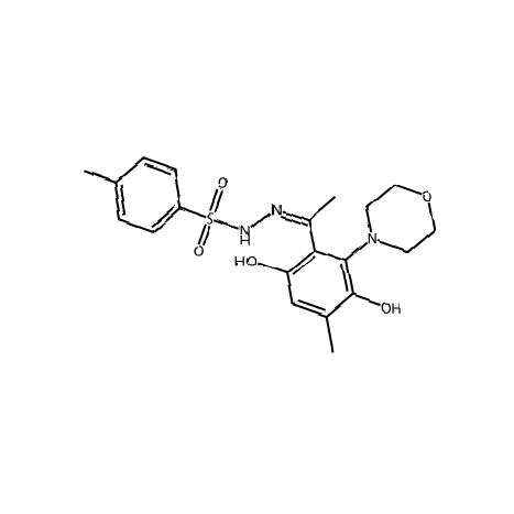 CC(=NNS(=O)(=O)c1ccc(C)cc1)c1c(O)cc(C)c(O)c1N1CCOCC1